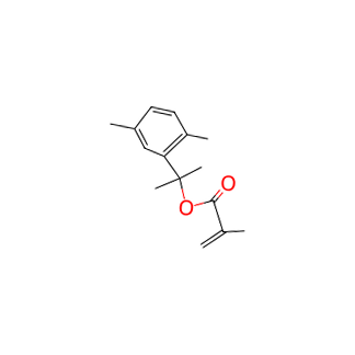 C=C(C)C(=O)OC(C)(C)c1cc(C)ccc1C